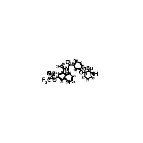 CCCCC1(Oc2ccc(C)c(C(=O)NC3(c4cc(OS(=O)(=O)C(F)(F)F)cc5ncccc45)CC3)c2)CCCNC1